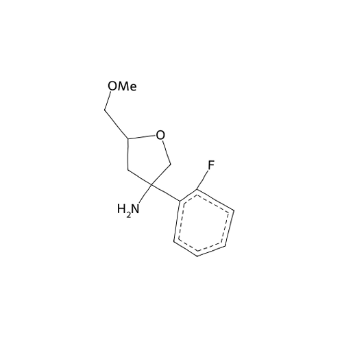 COCC1CC(N)(c2ccccc2F)CO1